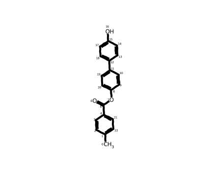 Cc1ccc(C(=O)Oc2ccc(-c3ccc(O)cc3)cc2)cc1